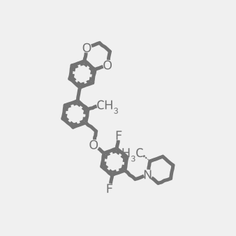 Cc1c(COc2cc(F)c(CN3CCCC[C@H]3C)cc2F)cccc1-c1ccc2c(c1)OCCO2